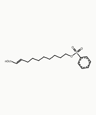 CCCCCCCCC=CCCCCCCCCOS(=O)(=O)c1ccccc1